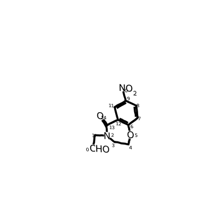 O=CCN1CCOc2ccc([N+](=O)[O-])cc2C1=O